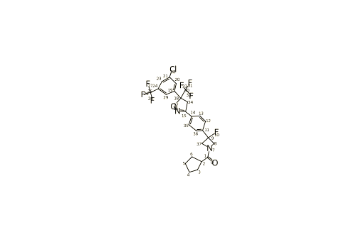 O=C(C1CCCC1)N1CC(F)(c2ccc(C3=NOC(c4cc(Cl)cc(C(F)(F)F)c4)(C(F)(F)F)C3)cc2)C1